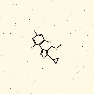 CC(C)OCc1c(-c2c(Cl)cc(F)cc2Cl)noc1C1CC1